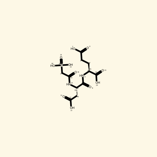 O=C(O)CC[C@H](NC(=O)[C@H](CC(=O)O)NC(=O)CP(=O)(O)O)C(=O)O